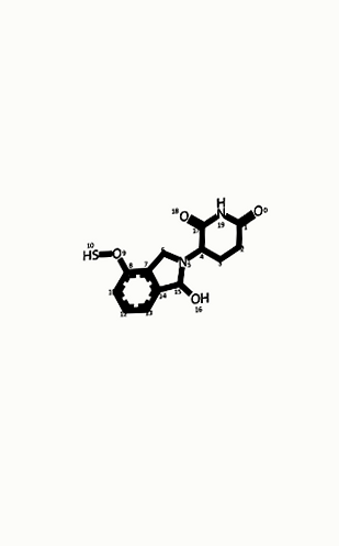 O=C1CCC(N2Cc3c(OS)cccc3C2O)C(=O)N1